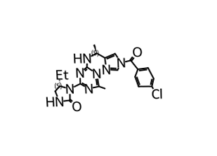 CC[C@H]1CNC(=O)N1c1nc(C)nc(N[C@@H](C)c2cn(C(=O)c3ccc(Cl)cc3)cn2)n1